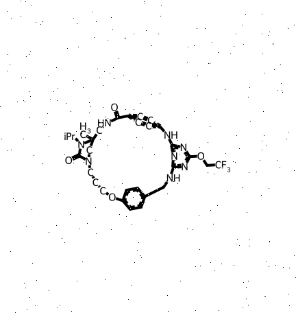 CC(C)N1C(=O)N2CCCOc3ccc(cc3)CNc3nc(nc(OCC(F)(F)F)n3)Nc3ccc(cc3)C(=O)NCC1(C)C2